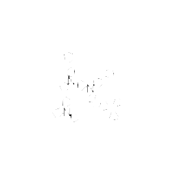 CC1(C)c2ccc(N(c3ccc(-c4ccccc4)cc3)c3ccc(N(c4ccc(-c5ccccc5)cc4)c4cccc(-c5ccc6c(c5)c5ccccc5n6-c5ccccc5)c4)cc3)cc2-c2cc3c4ccccc4c4ccccc4c3cc21